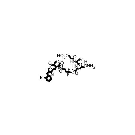 CC[C@@]1(OC(=O)CCC(F)(F)CNC(=O)[C@H](CCCNN)NC(=O)[C@@H](NC(=O)CCC(=O)O)C(C)C)C(=O)OCc2c1cc1n(c2=O)Cc2cc3c(Br)cccc3nc2-1